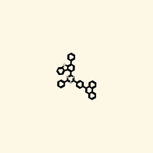 c1ccc(-c2nc(-c3ccc(-c4cc5ccccc5c5ccccc45)cc3)nc(-c3ccc(-c4ccccc4)c4oc5ccccc5c34)n2)cc1